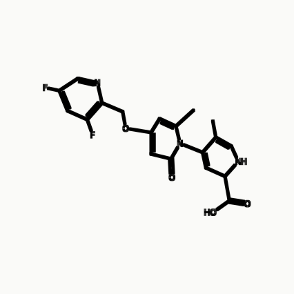 CC1=CNC(C(=O)O)C=C1n1c(C)cc(OCc2ncc(F)cc2F)cc1=O